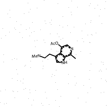 CNCCc1c[nH]c2c(C)ncc(OC(C)=O)c12